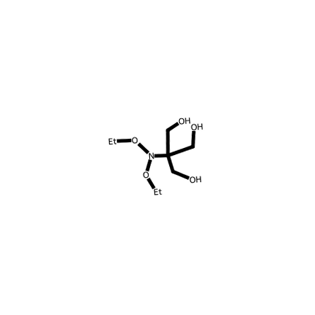 CCON(OCC)C(CO)(CO)CO